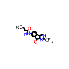 N#CCCC(=O)Nc1ccc2c(c1)C(=O)c1nc(C(F)(F)F)ncc1-2